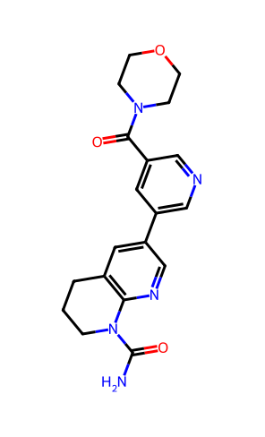 NC(=O)N1CCCc2cc(-c3cncc(C(=O)N4CCOCC4)c3)cnc21